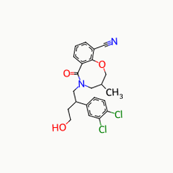 CC1COc2c(C#N)cccc2C(=O)N(CC(CCO)c2ccc(Cl)c(Cl)c2)C1